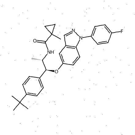 C[C@H](NC(=O)C1(C)CC1)[C@@H](Oc1ccc2c(cnn2-c2ccc(F)cc2)c1)c1ccc(C(C)(C)C)cc1